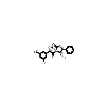 C[C@H](C(=O)N1C(=O)O[C@@H](c2ccccc2)[C@H]1C)c1cc(Cl)cc(Br)c1